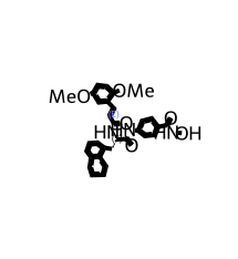 COc1ccc(OC)c(/C=C/C(=O)N[C@@H](Cc2cccc3ccccc23)C(=O)Nc2ccc(C(=O)NO)cc2)c1